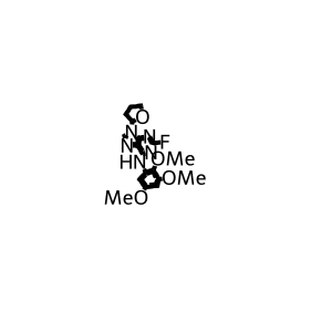 COc1cc(Nc2nc(F)nc3c2ncn3C2CCCO2)c(OC)c(OC)c1